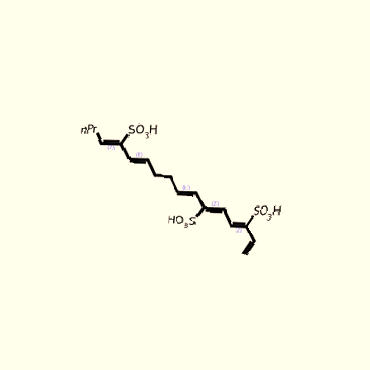 C=C/C(=C/C=C(/C=C/CC/C=C/C(=C/CCC)S(=O)(=O)O)S(=O)(=O)O)S(=O)(=O)O